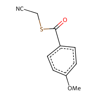 COc1ccc(C(=O)SCC#N)cc1